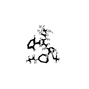 CC(C)(C)OC(=O)Nc1sc(-c2c(F)cccc2F)nc1C(=O)Nc1cnn(CC(F)(F)F)c1N1CCC[C@@H](NC(=O)C(F)(F)F)CC1